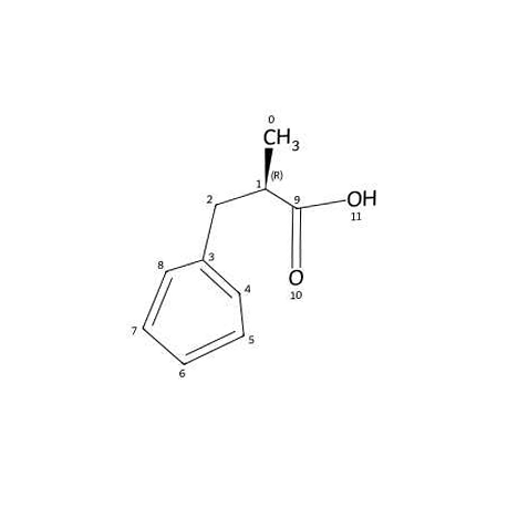 C[C@H](Cc1ccccc1)C(=O)O